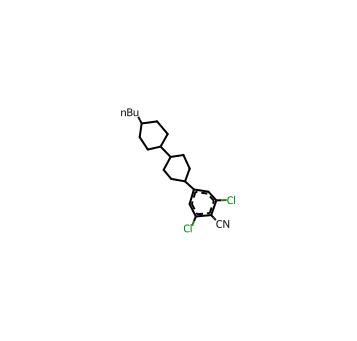 CCCCC1CCC(C2CCC(c3cc(Cl)c(C#N)c(Cl)c3)CC2)CC1